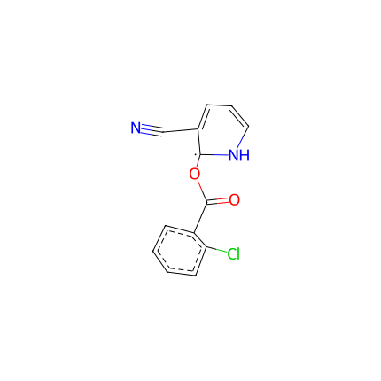 N#CC1=CC=CN[C]1OC(=O)c1ccccc1Cl